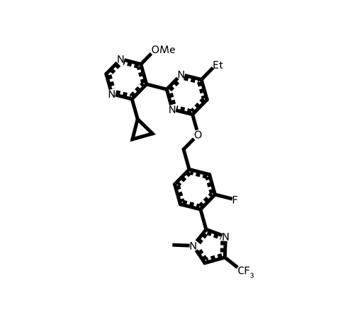 CCc1cc(OCc2ccc(-c3nc(C(F)(F)F)cn3C)c(F)c2)nc(-c2c(OC)ncnc2C2CC2)n1